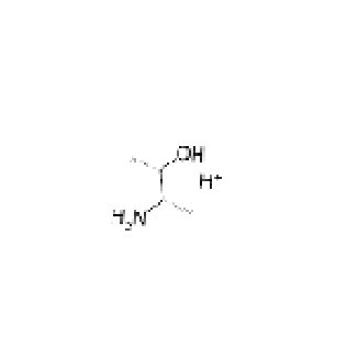 C[C@H](N)[C@H](C)O.[H+]